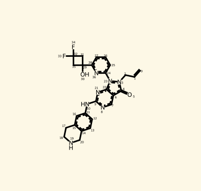 C=CCn1c(=O)c2cnc(Nc3ccc4c(c3)CCNC4)nc2n1-c1cccc(C2(O)CC(F)(F)C2)n1